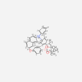 CC1(C)OB(c2ccc3oc4ccc5ccc6c(c7cccc8c9ccccc9n6c87)c5c4c3c2)OC1(C)C